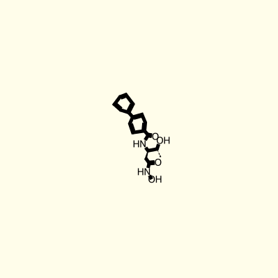 C[C@@H](O)[C@@H](CC(=O)NO)NC(=O)c1ccc(-c2ccccc2)cc1